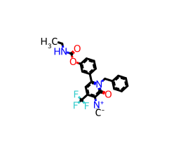 [C-]#[N+]c1c(C(F)(F)F)cc(-c2cccc(OC(=O)NCC)c2)n(Cc2ccccc2)c1=O